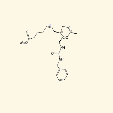 COC(=O)CCC/C=C\C[C@H]1CO[C@@H](C)O[C@H]1CNC(=O)NCc1ccccc1